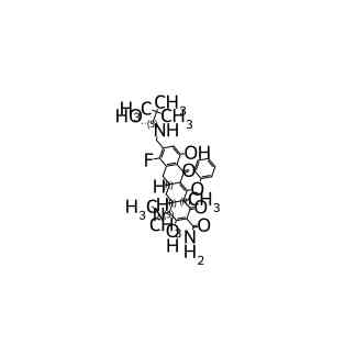 CN(C)[C@@H]1C(O)=C(C(N)=O)C(=O)[C@@]2(C)C(Oc3ccccc3)=C3C(=O)c4c(O)cc(CN[C@H](CO)C(C)(C)C)c(F)c4C[C@H]3C[C@@H]12